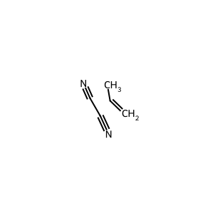 C=CC.N#CC#N